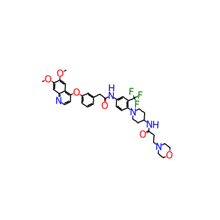 COc1cc2nccc(Oc3cccc(CC(=O)Nc4ccc(N5CCC(NC(=O)CCN6CCOCC6)CC5)c(C(F)(F)F)c4)c3)c2cc1OC